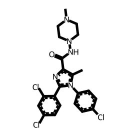 Cc1c(C(=O)NN2CCN(C)CC2)nc(-c2ccc(Cl)cc2Cl)n1-c1ccc(Cl)cc1